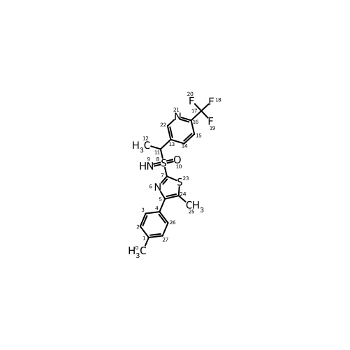 Cc1ccc(-c2nc(S(=N)(=O)C(C)c3ccc(C(F)(F)F)nc3)sc2C)cc1